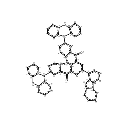 O=c1c2cc(N3c4ccccc4Oc4ccccc43)ccc2n2c3ccc(N4c5ccccc5Oc5ccccc54)cc3c(=O)c3cc(-c4cccc5c4oc4ccccc45)cc1c32